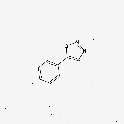 [c]1nnoc1-c1ccccc1